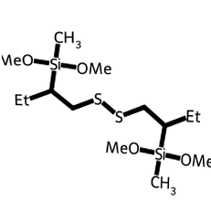 CCC(CSSCC(CC)[Si](C)(OC)OC)[Si](C)(OC)OC